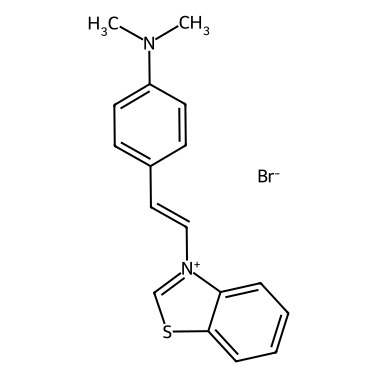 CN(C)c1ccc(C=C[n+]2csc3ccccc32)cc1.[Br-]